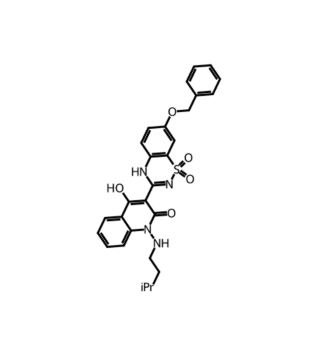 CC(C)CCNn1c(=O)c(C2=NS(=O)(=O)c3cc(OCc4ccccc4)ccc3N2)c(O)c2ccccc21